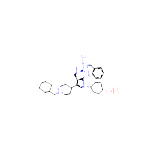 C[C@H](Nc1ncc2c(C3CCN(CC4CCCCC4)CC3)cn([C@H]3CC[C@H](O)CC3)c2n1)c1ccccc1